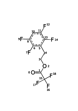 O=C(OC[CH]c1c(F)c(F)cc(F)c1F)C(F)(F)F